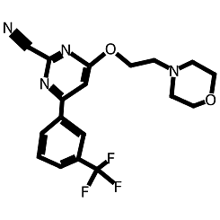 N#Cc1nc(OCCN2CCOCC2)cc(-c2cccc(C(F)(F)F)c2)n1